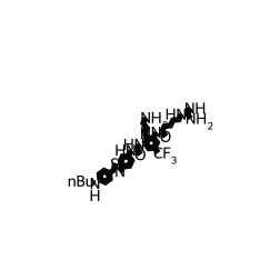 CCCCNc1ccc(-c2nc3ccc(NC(=O)Nc4cc(C(F)(F)F)cc(NC(=O)CCCCNC(=N)N)c4SCCN)cc3s2)cc1